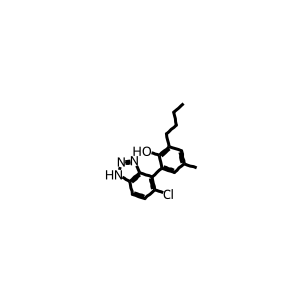 CCCCc1cc(C)cc(-c2c(Cl)ccc3[nH]nnc23)c1O